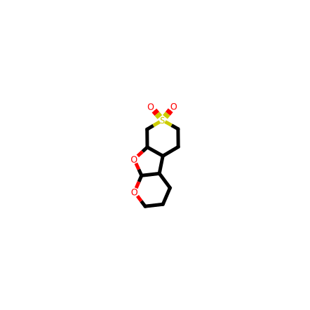 O=S1(=O)CCC2C(C1)OC1OCCCC12